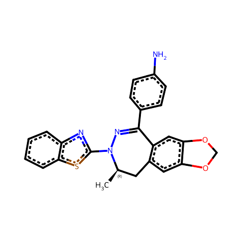 C[C@@H]1Cc2cc3c(cc2C(c2ccc(N)cc2)=NN1c1nc2ccccc2s1)OCO3